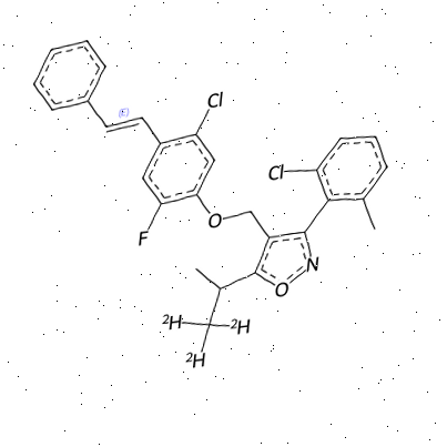 [2H]C([2H])([2H])C(C)c1onc(-c2c(C)cccc2Cl)c1COc1cc(Cl)c(/C=C/c2ccccc2)cc1F